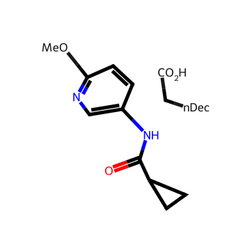 CCCCCCCCCCCC(=O)O.COc1ccc(NC(=O)C2CC2)cn1